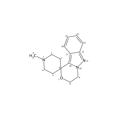 CN1CCC2(CC1)OCCn1nc3ccccc3c12